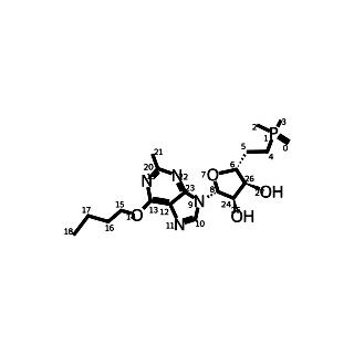 C=P(C)(C)CC[C@H]1O[C@@H](n2cnc3c(OCCCC)nc(C)nc32)[C@H](O)[C@@H]1O